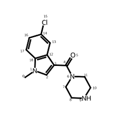 Cn1cc(C(=O)N2CCNCC2)c2cc(Cl)ccc21